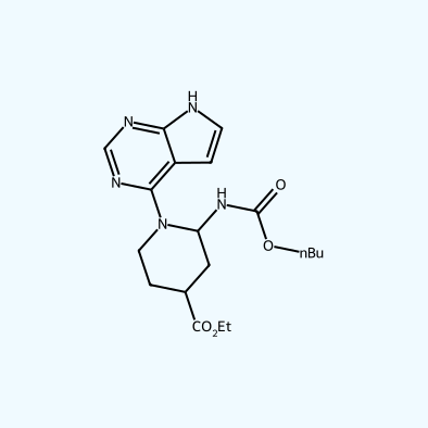 CCCCOC(=O)NC1CC(C(=O)OCC)CCN1c1ncnc2[nH]ccc12